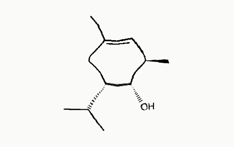 CC1=C[C@@H](C)[C@H](O)[C@H](C(C)C)C1